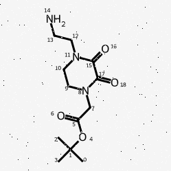 CC(C)(C)OC(=O)CN1CCN(CCN)C(=O)C1=O